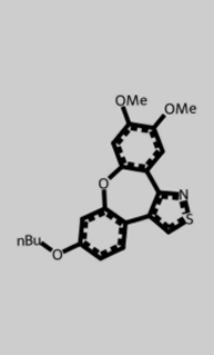 CCCCOc1ccc2c(c1)Oc1cc(OC)c(OC)cc1-c1nscc1-2